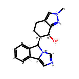 Cn1cc2c(n1)[C@@H](O)[C@@H](C1c3ccccc3-c3cncn31)CC2